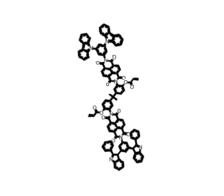 C=CC(=O)Oc1ccc(C(C)(C)c2ccc(OC(=O)C=C)c(N3C(=O)c4ccc5c6c(ccc(c46)C3=O)C(=O)N(c3cc(-n4c6ccccc6c6ccccc64)cc(-n4c6ccccc6c6ccccc64)c3)C5=O)c2)cc1N1C(=O)c2ccc3c4c(ccc(c24)C1=O)C(=O)N(c1cc(C2C(c4ccccc4)=Nc4ccccc42)cc(C2C(c4ccccc4)=Nc4ccccc42)c1)C3=O